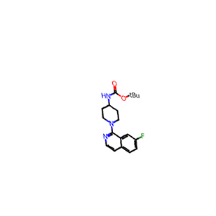 CC(C)(C)OC(=O)NC1CCN(c2nccc3ccc(F)cc23)CC1